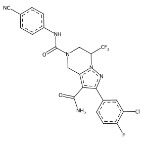 N#Cc1ccc(NC(=O)N2Cc3c(C(N)=O)c(-c4ccc(F)c(Cl)c4)nn3C(C(F)(F)F)C2)cc1